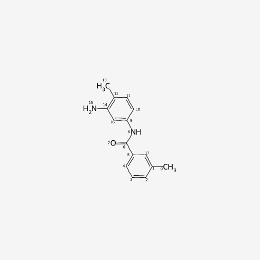 Cc1cccc(C(=O)Nc2ccc(C)c(N)c2)c1